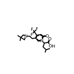 CC(C)CC(C(=O)O)n1cc(CCN2CC(C)(C)C2)c(C(F)(F)F)cc1=O